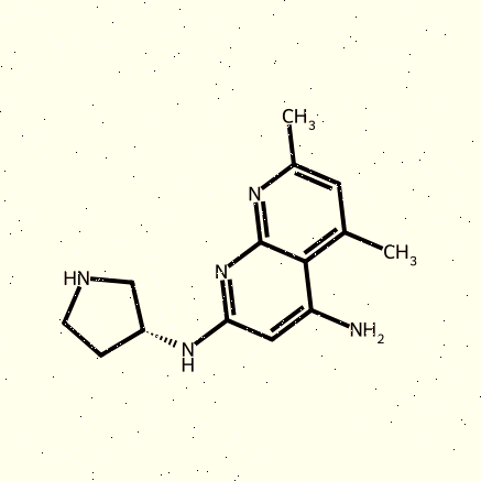 Cc1cc(C)c2c(N)cc(N[C@@H]3CCNC3)nc2n1